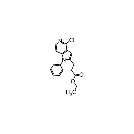 CCOC(=O)CCc1cc2c(Cl)nccc2n1-c1ccccc1